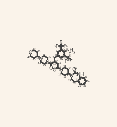 Nc1c(C(F)(F)F)cc(C[C@@H](CC(=O)N2CCC(N3CCc4ccccc4NC3=O)CC2)C(=O)N2CCN(C3CCOCC3)CC2)cc1C(F)(F)F